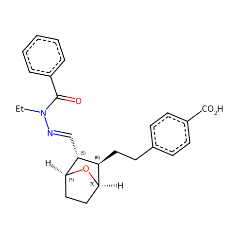 CCN(N=C[C@@H]1[C@@H](CCc2ccc(C(=O)O)cc2)[C@H]2CC[C@@H]1O2)C(=O)c1ccccc1